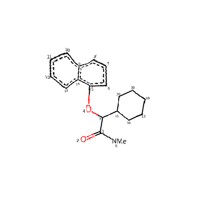 CNC(=O)C(Oc1cccc2ccccc12)C1CCCCC1